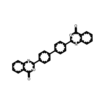 O=c1oc(-c2ccc(-c3ccc(-c4nc5ccccc5c(=O)o4)cc3)cc2)nc2ccccc12